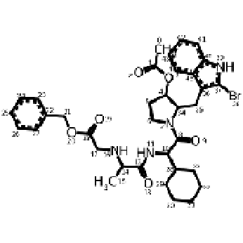 CC(=O)OC1CCN(C(=O)C(NC(=O)C(C)NCC(=O)OCc2ccccc2)C2CCCCC2)C1Cc1c(Br)[nH]c2ccccc12